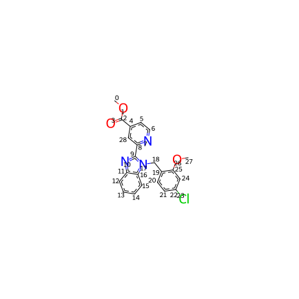 COC(=O)c1ccnc(-c2nc3ccccc3n2Cc2ccc(Cl)cc2OC)c1